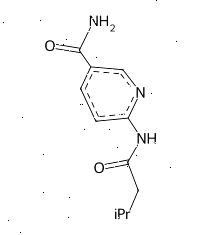 CC(C)CC(=O)Nc1ccc(C(N)=O)cn1